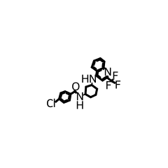 O=C(N[C@@H]1CCC[C@H](Nc2cc(C(F)(F)F)nc3ccccc23)C1)c1ccc(Cl)cc1